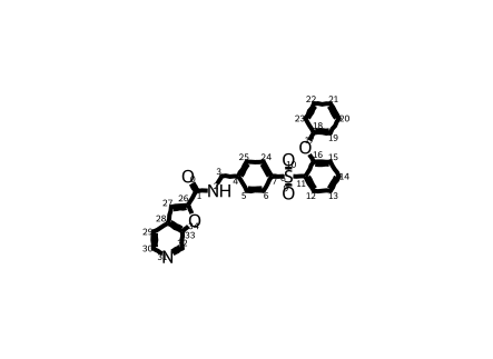 O=C(NCc1ccc(S(=O)(=O)c2ccccc2Oc2ccccc2)cc1)c1cc2ccncc2o1